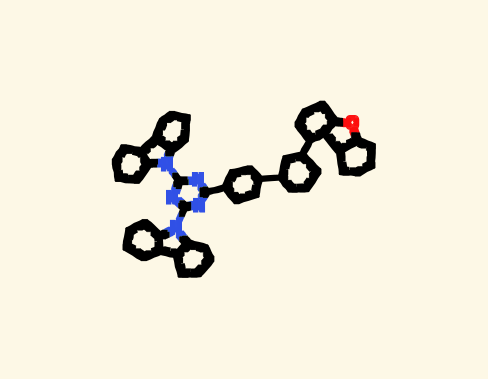 c1cc(-c2ccc(-c3nc(-n4c5ccccc5c5ccccc54)nc(-n4c5ccccc5c5ccccc54)n3)cc2)cc(-c2cccc3oc4ccccc4c23)c1